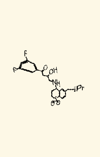 CC(C)Cc1ccc2c(c1)C(NCC(O)CC(=O)c1cc(F)cc(F)c1)CCS2(=O)=O